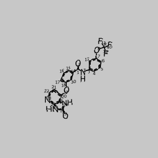 O=C(Nc1cccc(OC(F)(F)F)c1)c1cccc(Oc2ccnc3[nH]c(=O)[nH]c23)c1